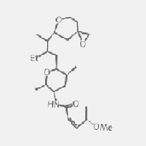 CCC(C[C@@H]1O[C@H](C)[C@H](NC(=O)/C=C\[C@H](C)OC)C[C@@H]1C)C(C)[C@@H]1C[C@@]2(CCO1)CO2